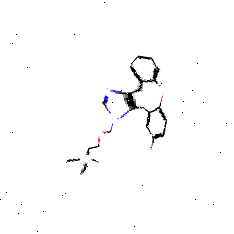 C[Si](C)(C)CCOCn1cnc2c1-c1cc(Cl)ccc1Oc1ccccc1-2